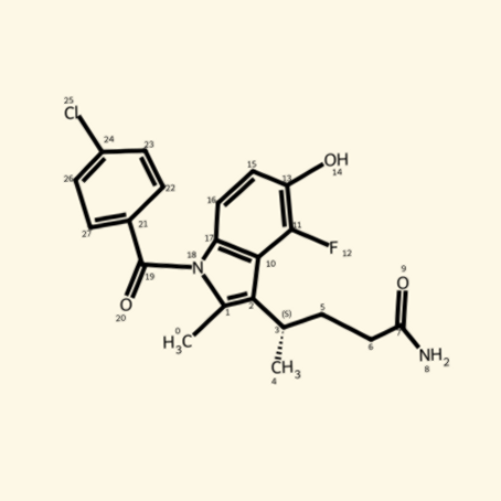 Cc1c([C@@H](C)CCC(N)=O)c2c(F)c(O)ccc2n1C(=O)c1ccc(Cl)cc1